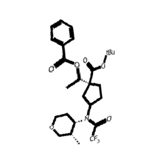 CC(OC(=O)c1ccccc1)[C@]1(C(=O)OC(C)(C)C)CCC(N(C(=O)C(F)(F)F)[C@H]2CCOC[C@H]2C)C1